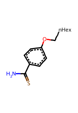 CCCCCCCOc1ccc(C(N)=S)cc1